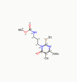 CCSc1nc(SC)c(C#N)c(=O)n1CCCNC(=O)OC(C)(C)C